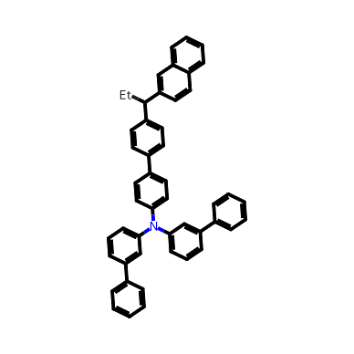 CCC(c1ccc(-c2ccc(N(c3cccc(-c4ccccc4)c3)c3cccc(-c4ccccc4)c3)cc2)cc1)c1ccc2ccccc2c1